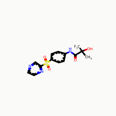 CC(O)(C(=O)Nc1ccc(S(=O)(=O)c2cnccn2)cc1)C(F)(F)F